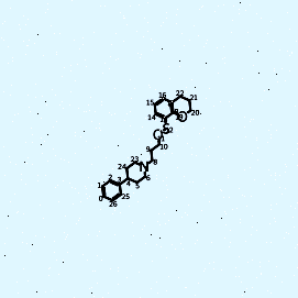 c1ccc(C2CCN(CCCOSc3cccc4c3OCCC4)CC2)cc1